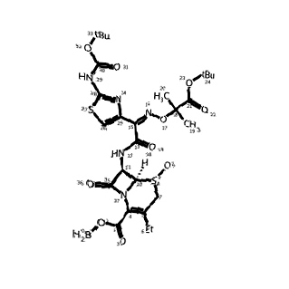 BOC(=O)C1=C(CC)C[S+]([O-])[C@@H]2[C@H](NC(=O)/C(=N\OC(C)(C)C(=O)OC(C)(C)C)c3csc(NC(=O)OC(C)(C)C)n3)C(=O)N12